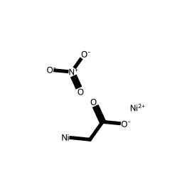 O=C([O-])[CH2][Ni].O=[N+]([O-])[O-].[Ni+2]